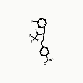 O=C(N(CCc1ccc([N+](=O)[O-])cc1)Cc1cccc(F)c1)C(F)(F)F